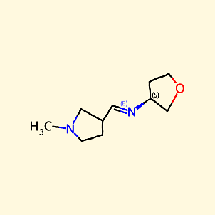 CN1CCC(/C=N/[C@H]2CCOC2)C1